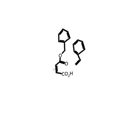 C=Cc1ccccc1.O=C(O)/C=C\C(=O)OCc1ccccc1